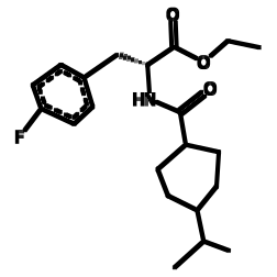 CCOC(=O)[C@@H](Cc1ccc(F)cc1)NC(=O)C1CCC(C(C)C)CC1